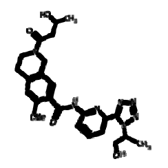 COc1cc2c(cc1C(=O)Nc1cccc(-c3nnnn3C(C)CO)n1)CN(C(=O)CC(C)O)CC2